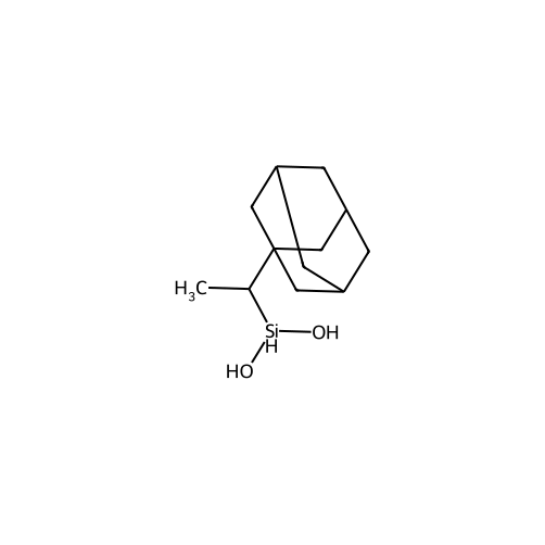 CC([SiH](O)O)C12CC3CC(CC(C3)C1)C2